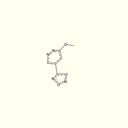 COc1cc(-c2cnon2)cnn1